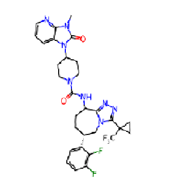 Cn1c(=O)n(C2CCN(C(=O)N[C@@H]3CC[C@@H](c4cccc(F)c4F)Cn4c3nnc4C3(C(F)(F)F)CC3)CC2)c2cccnc21